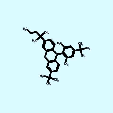 CCCC(C)(C)c1ccc2c(c1)Oc1cc(C(C)(C)C)ccc1N2c1c(C)cc(C(C)(C)C)cc1C